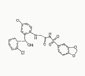 O=C(CNc1ccc(Cl)cc1C(O)c1ccccc1Cl)NS(=O)(=O)c1ccc2c(c1)OCO2